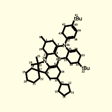 CC1CC2=C3B(C4=C5C(CC(C6CCCC6)C4)C4(CCCCC4)C(C)(C)N5C3C1)C1CC(C(C)(C)C)CC=C1N2C1=CC=C(C(C)(C)C)CC1